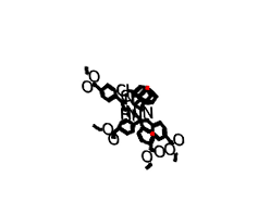 CCOC(=O)c1ccc(C2=NC(c3ccccc3Cl)(C3(c4ccccc4Cl)N=C(c4ccc(C(=O)OCC)cc4)C(c4ccc(C(=O)OCC)cc4)(c4ccc(C(=O)OCC)cc4)N3)N=C2)cc1